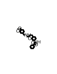 O=S(=O)(Nc1ccc2c(c1)OC(CNCc1ccc3c(c1)OCO3)CC2)c1ccccc1